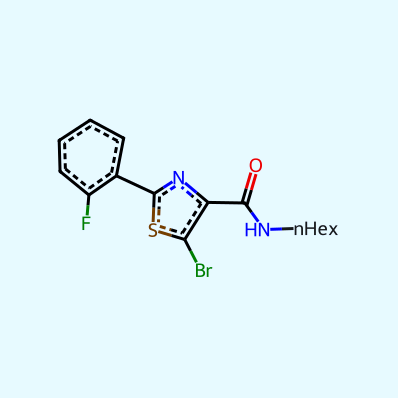 CCCCCCNC(=O)c1nc(-c2ccccc2F)sc1Br